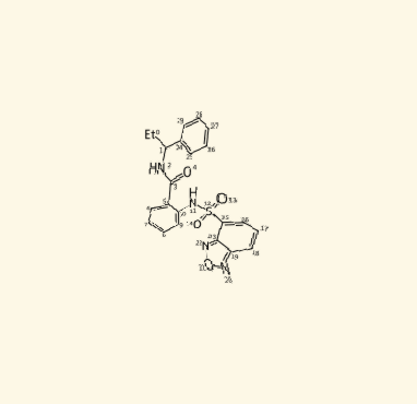 CCC(NC(=O)c1ccccc1NS(=O)(=O)c1cccc2nonc12)c1ccccc1